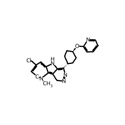 CN1CC=C(Cl)C=c2[nH]c3c(c21)CN=NC=3[C@H]1CC[C@H](Oc2ccccn2)CC1